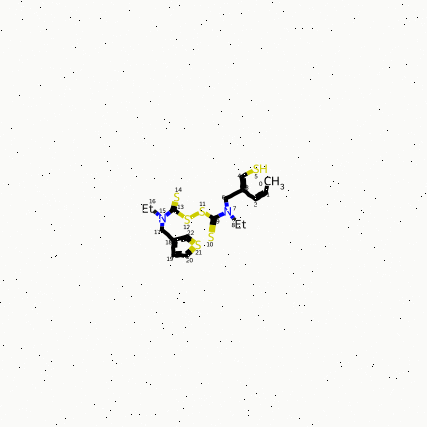 C/C=C\C(=C/S)CN(CC)C(=S)SSC(=S)N(CC)Cc1ccsc1